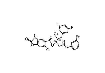 CCc1cccc(CNC[C@@H](OC(=O)c2cc3c(cc2Cl)oc(=O)n3C)[C@@H](N)Cc2cc(F)cc(F)c2)c1